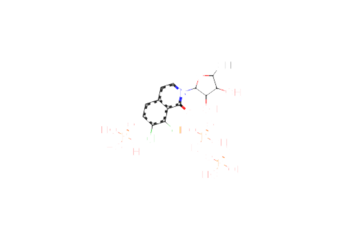 CC1OC(n2ccc3ccc(Cl)c(Cl)c3c2=O)C(O)C1O.O=P(O)(O)O.O=P(O)(O)O.O=P(O)(O)O